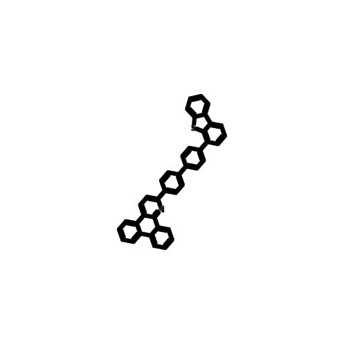 c1ccc2c(c1)sc1c(-c3ccc(-c4ccc(-c5ccc6c7ccccc7c7ccccc7c6n5)cc4)cc3)cccc12